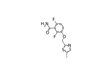 Cc1cnc(COc2ccc(F)c(C(N)=O)c2F)s1